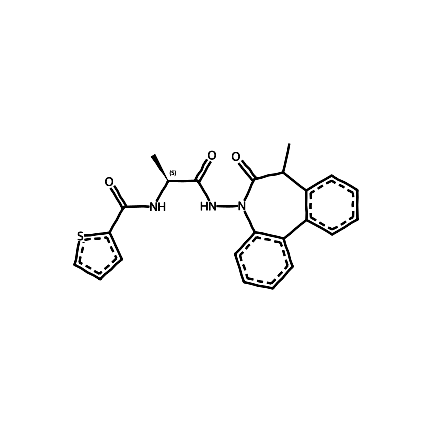 CC1C(=O)N(NC(=O)[C@H](C)NC(=O)c2cccs2)c2ccccc2-c2ccccc21